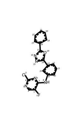 Fc1cnc(Cl)nc1Nc1cccc(-c2nnc(-c3ccccc3)o2)c1